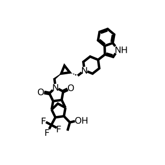 CC(O)C1C2CC(C3C(=O)N(C[C@H]4C[C@@H]4CN4CCC(c5c[nH]c6ccccc56)CC4)C(=O)C23)C1C(F)(F)F